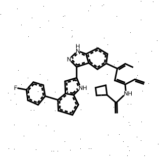 C=C/C(=C\C(=C/C)c1ccc2[nH]nc(-c3cc4c(-c5ccc(F)cc5)cccc4[nH]3)c2c1)NC(=C)C1CCC1